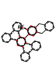 N#Cc1cc2c(cc1-c1cccc3c4ccccc4c4ccccc4c13)C1c3ccccc3C2c2cc(C#N)c(-c3cccc4c5ccccc5c5ccccc5c34)cc21